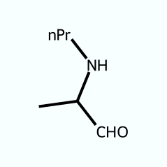 [CH2]CCNC(C)C=O